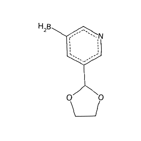 Bc1cncc(C2OCCO2)c1